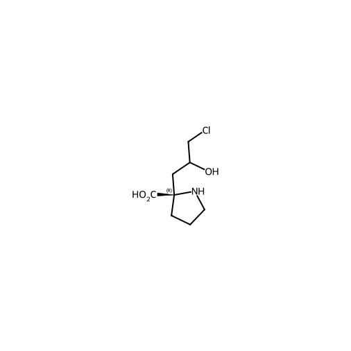 O=C(O)[C@]1(CC(O)CCl)CCCN1